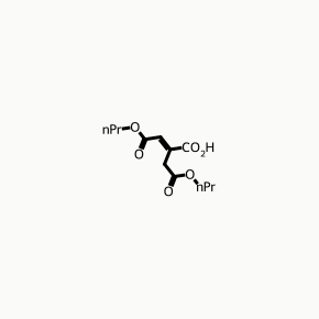 CCCOC(=O)C=C(CC(=O)OCCC)C(=O)O